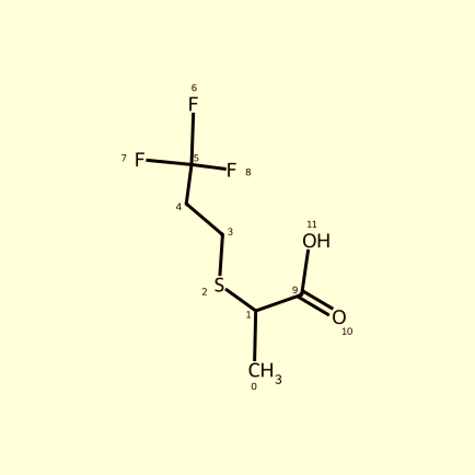 CC(SCCC(F)(F)F)C(=O)O